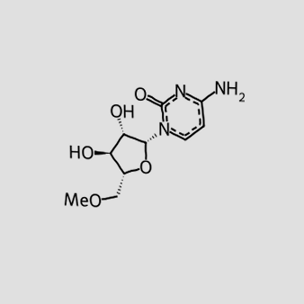 COC[C@H]1O[C@@H](n2ccc(N)nc2=O)[C@@H](O)[C@@H]1O